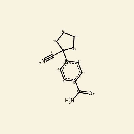 N#CC1(c2ccc(C(N)=O)cc2)CCCC1